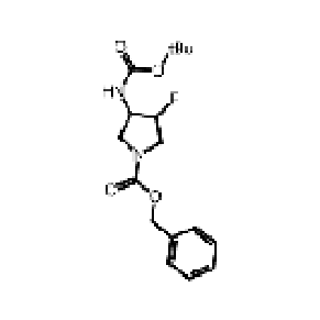 CC(C)(C)OC(=O)NC1CN(C(=O)OCc2ccccc2)CC1F